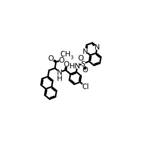 COC(=O)C(Cc1ccc2ccccc2c1)NC(=O)c1ccc(Cl)cc1NS(=O)(=O)c1cccc2nccnc12